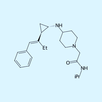 CC/C(=C\c1ccccc1)[C@H]1C[C@@H]1NC1CCN(CC(=O)NC(C)C)CC1